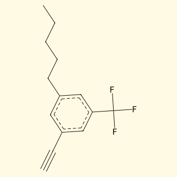 C#Cc1cc(CCCCC)cc(C(F)(F)F)c1